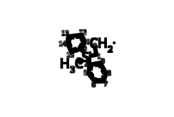 [CH2]C[Si](C)(c1ccccc1)c1ccccc1